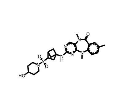 Cc1ccc2c(c1)C(=O)N(C)c1cnc(NC34CC(C3)C(S(=O)(=O)N3CCC(O)CC3)C4)nc1N2C